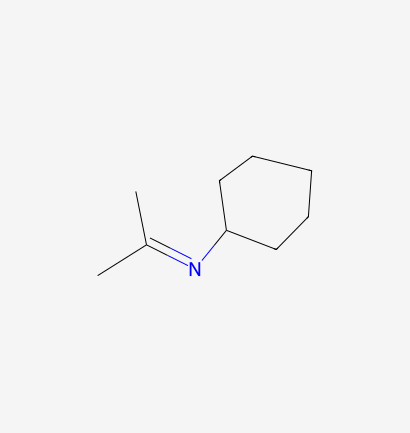 CC(C)=NC1CCCCC1